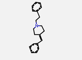 C(=C1CCN(CCc2ccccc2)CC1)c1ccccc1